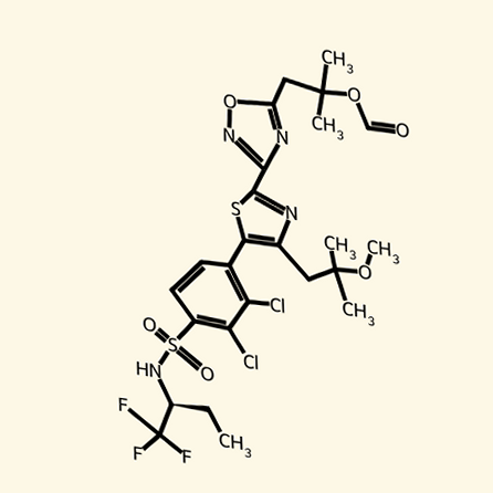 CC[C@H](NS(=O)(=O)c1ccc(-c2sc(-c3noc(CC(C)(C)OC=O)n3)nc2CC(C)(C)OC)c(Cl)c1Cl)C(F)(F)F